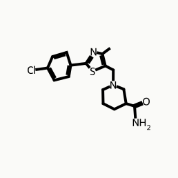 Cc1nc(-c2ccc(Cl)cc2)sc1CN1CCCC(C(N)=O)C1